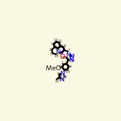 COc1cc(-c2cn(Cc3cc4cccc5c4n(c3=O)CCC5)nn2)ccc1-n1cnc(C)c1